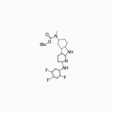 CN(C(=O)OC(C)(C)C)C1CCC2Nc3nc(Nc4cc(F)c(F)cc4F)ccc3C2C1